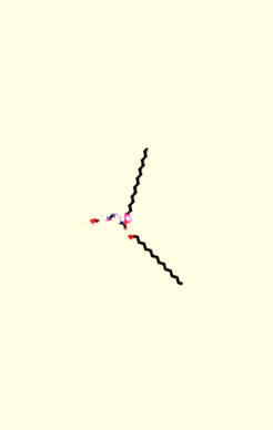 CCCCCCCCCCCCCCCC(=O)OCC(CN[C@@H](C)C(=O)NCC(=O)O)OC(=O)CCCCCCCCCCCCCCC